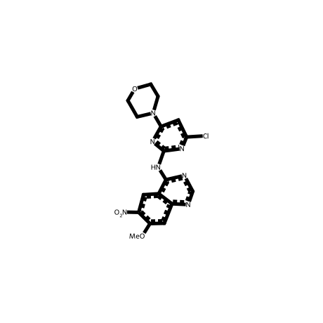 COc1cc2ncnc(Nc3nc(Cl)cc(N4CCOCC4)n3)c2cc1[N+](=O)[O-]